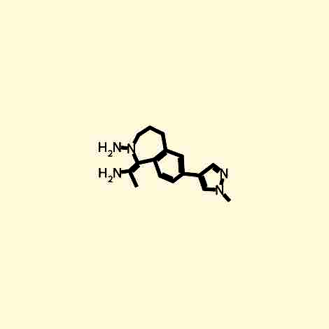 C/C(N)=C1\c2ccc(-c3cnn(C)c3)cc2CCCN1N